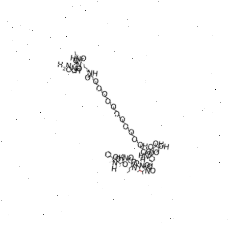 CCCNC(=O)[C@H](CCCCNC(=O)CCOCCOCCOCCOCCOCCOCCOCCOCCOCCOCCOCCOC(=O)Nc1cc(COC(=O)N(C)[C@H](C(=O)N[C@H](C(=O)N(C)[C@@H]([C@@H](C)CC)[C@@H](CC(=O)N2CCC[C@@H]2[C@H](OC)[C@@H](C)C(=O)N[C@H](C)[C@@H](O)c2ccccc2)OC)C(C)C)C(C)C)ccc1O[C@@H]1OC[C@H](O)[C@H](O)[C@H]1O)NC(=O)[C@@H](CN)N1C(=O)C=CC1=O